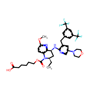 CC[C@@H]1C[C@H](Nc2ncc(N3CCOCC3)cc2Cc2cc(C(F)(F)F)cc(C(F)(F)F)c2)c2nc(OC)ccc2N1C(=O)OCCCCCC(=O)O